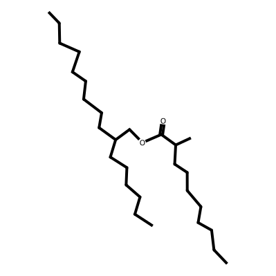 CCCCCCCCCC(CCCCCC)COC(=O)C(C)CCCCCCCC